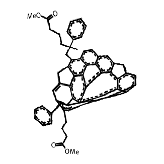 COC(=O)CCCC(C)(Cc1c2c3c4c5c6c7c8c(cc9c7c7c(cc%10ccc1c1c%10c7c6c31)C9)C=CC1(C=C4C2)C(CCCC(=O)OC)(c2ccccc2)C851)c1ccccc1